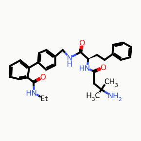 CCNC(=O)c1ccccc1-c1ccc(CNC(=O)[C@@H](CCc2ccccc2)NC(=O)CC(C)(C)N)cc1